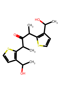 CC(O)c1ccsc1C(C)C(=O)C(C)c1sccc1C(C)O